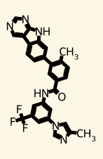 Cc1cn(-c2cc(NC(=O)c3ccc(C)c(-c4ccc5c(c4)[nH]c4ncncc45)c3)cc(C(F)(F)F)c2)cn1